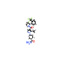 NC(=O)C1CCC(n2ncc(C(=O)N3CCCC3c3ccccc3C(F)(F)F)c2C2CC2)CC1